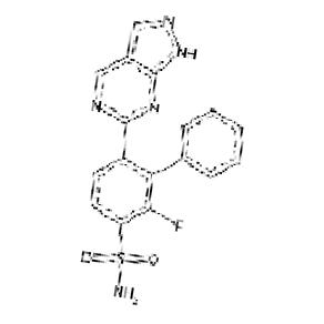 NS(=O)(=O)c1ccc(-c2ncc3cn[nH]c3n2)c(-c2ccccc2)c1F